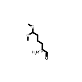 COC(CCC[C@@H](N)C=O)OC